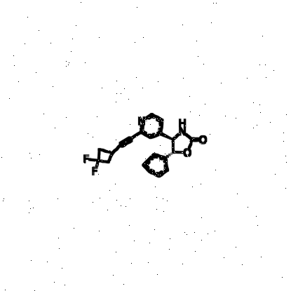 O=C1N[C@H](c2ccnc(C#CC3CC(F)(F)C3)c2)[C@@H](c2ccccc2)O1